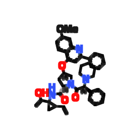 C=CC1CC1(NC(=O)[C@@H]1C[C@@H](Oc2cc(-c3ccccc3)nc3cc(OC)ccc23)CN1C(=O)[C@H](c1ccccc1)N1CCCCC1)C(=C)O